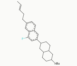 CC=CCCc1ccc2cc(C3CCC4CC(CCCC)CCC4C3)cc(F)c2c1